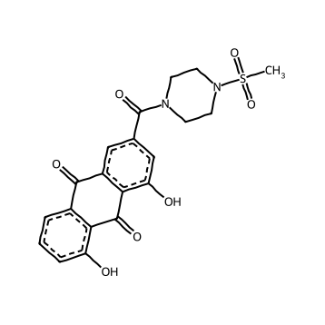 CS(=O)(=O)N1CCN(C(=O)c2cc(O)c3c(c2)C(=O)c2cccc(O)c2C3=O)CC1